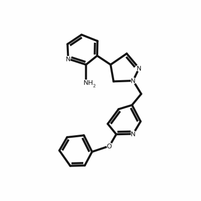 Nc1ncccc1C1C=NN(Cc2ccc(Oc3ccccc3)nc2)C1